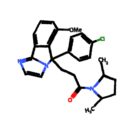 COc1cccc2c1C(CCC(=O)N1C(C)CCC1C)(c1ccc(Cl)cc1)n1ccnc1-2